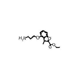 CCOC(=O)c1oc2cccc(OCCCN)c2c1C